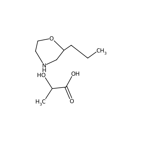 CC(O)C(=O)O.CCCC1CNCCO1